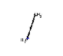 [CH2]CCCCCCCCCCCCCCCCCCCCCCCCC/C=C/CC